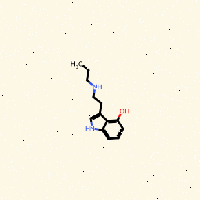 CCCNCCc1c[nH]c2cccc(O)c12